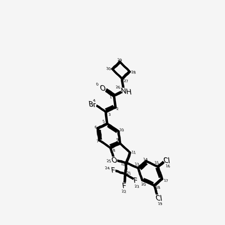 O=C(C=C(Br)c1ccc2c(c1)CC(c1cc(Cl)cc(Cl)c1)(C(F)(F)F)O2)NC1CCC1